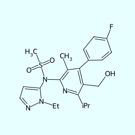 CCn1nccc1N(c1nc(C(C)C)c(CO)c(-c2ccc(F)cc2)c1C)S(C)(=O)=O